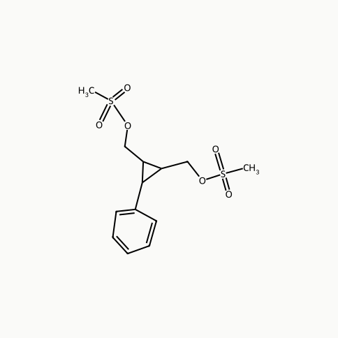 CS(=O)(=O)OCC1C(COS(C)(=O)=O)C1c1ccccc1